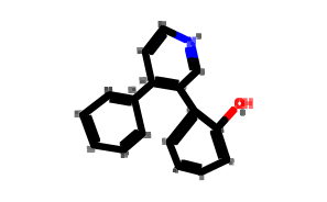 Oc1ccccc1-c1cnccc1-c1ccccc1